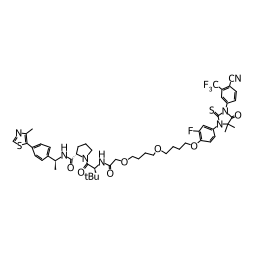 Cc1ncsc1-c1ccc([C@H](C)NC(=O)[C@@H]2CCCN2C(=O)[C@@H](NC(=O)COCCCCOCCCCOc2ccc(N3C(=S)N(c4ccc(C#N)c(C(F)(F)F)c4)C(=O)C3(C)C)cc2F)C(C)(C)C)cc1